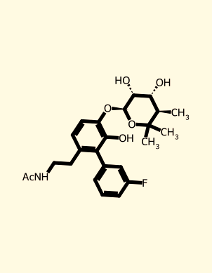 CC(=O)NCCc1ccc(O[C@@H]2OC(C)(C)[C@H](C)[C@@H](O)[C@H]2O)c(O)c1-c1cccc(F)c1